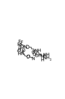 N#Cc1ccc(CCNC(=O)[C@@H]2CCCN2c2cc(N3CCC(CCCC(=O)N[C@@H](CCCNC(=N)N)C(=O)O)CC3)cc(C(F)(F)F)n2)cc1